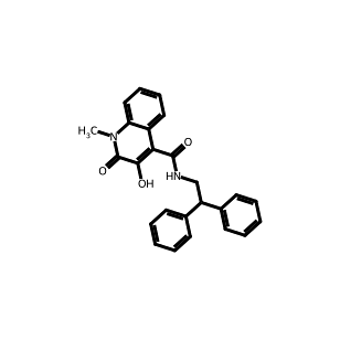 Cn1c(=O)c(O)c(C(=O)NCC(c2ccccc2)c2ccccc2)c2ccccc21